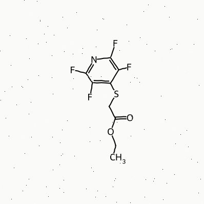 CCOC(=O)CSc1c(F)c(F)nc(F)c1F